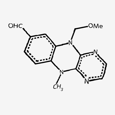 COCN1c2cc(C=O)ccc2N(C)c2nccnc21